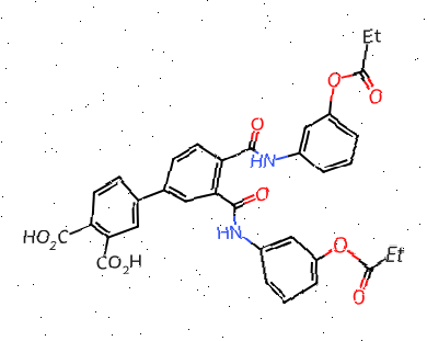 CCC(=O)Oc1cccc(NC(=O)c2ccc(-c3ccc(C(=O)O)c(C(=O)O)c3)cc2C(=O)Nc2cccc(OC(=O)CC)c2)c1